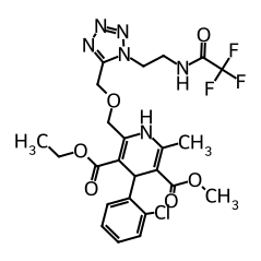 CCOC(=O)C1=C(COCc2nnnn2CCNC(=O)C(F)(F)F)NC(C)=C(C(=O)OC)C1c1ccccc1Cl